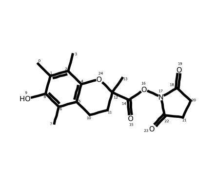 Cc1c(C)c2c(c(C)c1O)CCC(C)(C(=O)ON1C(=O)CCC1=O)O2